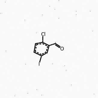 O=[C]c1cc(I)ccc1Cl